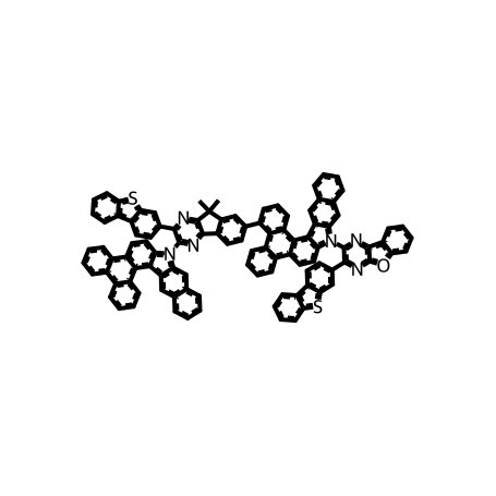 CC1(C)c2cc(-c3cccc4c3c3ccccc3c3ccc5c(c6cc7ccccc7cc6n5-c5nc6c(nc5-c5ccc7c(c5)sc5ccccc57)oc5ccccc56)c34)ccc2-c2nc(-n3c4cc5ccccc5cc4c4c5c6ccccc6c6ccccc6c5ccc43)c(-c3ccc4c(c3)sc3ccccc34)nc21